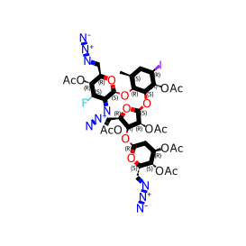 CC(=O)OC[C@H]1O[C@@H](O[C@@H]2[C@@H](OC(C)=O)[C@H](I)C[C@H](C)[C@H]2O[C@H]2O[C@H](CN=[N+]=[N-])[C@@H](OC(C)=O)[C@@H](F)C2N=[N+]=[N-])[C@H](OC(C)=O)[C@@H]1O[C@@H]1C[C@@H](OC(C)=O)[C@H](OC(C)=O)[C@H](CN=[N+]=[N-])O1